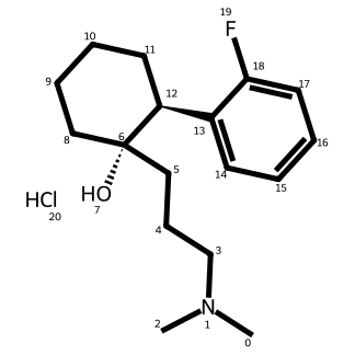 CN(C)CCC[C@@]1(O)CCCC[C@H]1c1ccccc1F.Cl